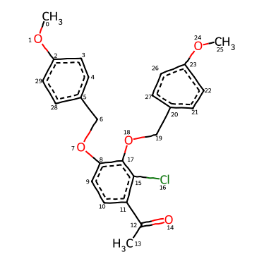 COc1ccc(COc2ccc(C(C)=O)c(Cl)c2OCc2ccc(OC)cc2)cc1